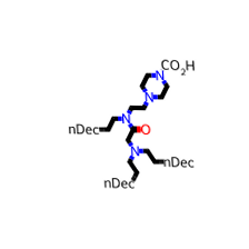 CCCCCCCCCCCCN(CCCCCCCCCCCC)CC(=O)N(CCCCCCCCCCCC)CCN1CCN(C(=O)O)CC1